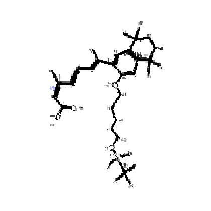 CC(=CC=C/C(C)=C\C(=O)O)c1cc2c(cc1OCCCCCO[Si](C)(C)C(C)(C)C)C(C)(C)CCC2(C)C